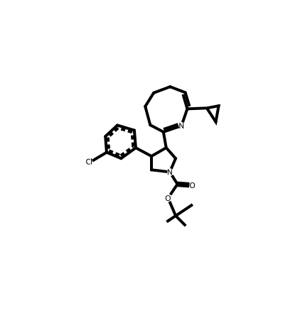 CC(C)(C)OC(=O)N1CC(/C2=N/C(C3CC3)=C\CCCC2)C(c2cccc(Cl)c2)C1